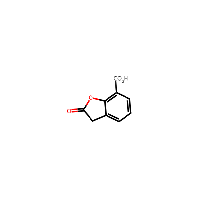 O=C1Cc2cccc(C(=O)O)c2O1